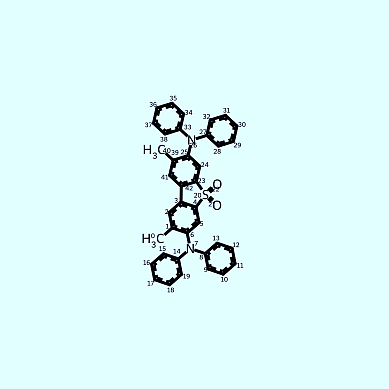 Cc1cc2c(cc1N(c1ccccc1)c1ccccc1)S(=O)(=O)c1cc(N(c3ccccc3)c3ccccc3)c(C)cc1-2